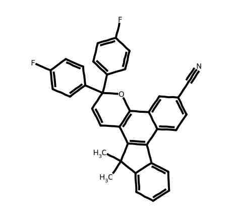 CC1(C)c2ccccc2-c2c1c1c(c3cc(C#N)ccc23)OC(c2ccc(F)cc2)(c2ccc(F)cc2)C=C1